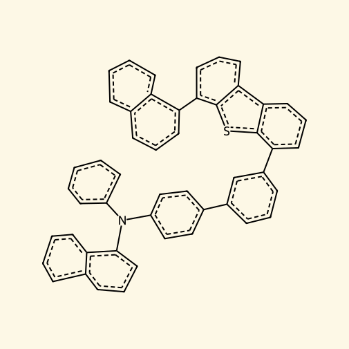 c1ccc(N(c2ccc(-c3cccc(-c4cccc5c4sc4c(-c6cccc7ccccc67)cccc45)c3)cc2)c2cccc3ccccc23)cc1